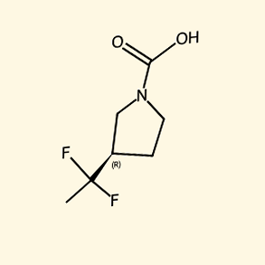 CC(F)(F)[C@@H]1CCN(C(=O)O)C1